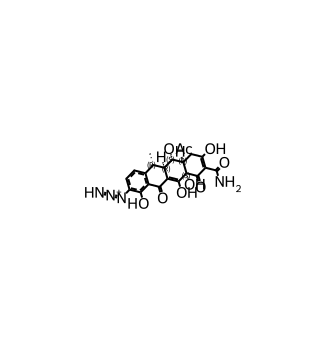 CC(=O)O[C@H]1[C@H]2C(=C(O)[C@]3(O)C(=O)C(C(N)=O)=C(O)C[C@H]13)C(=O)c1c(ccc(N=[N+]=N)c1O)[C@@H]2C